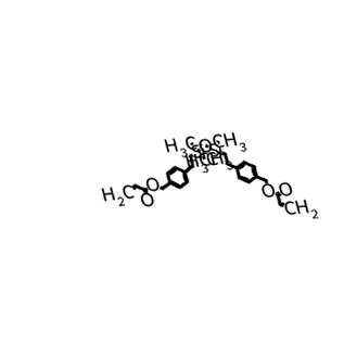 C=CC(=O)OCc1ccc(CC[Si](C)(C)O[Si](C)(C)CCc2ccc(COC(=O)C=C)cc2)cc1